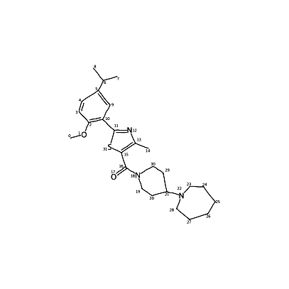 COc1ccc(C(C)C)cc1-c1nc(C)c(C(=O)N2CCC(N3CCCCCC3)CC2)s1